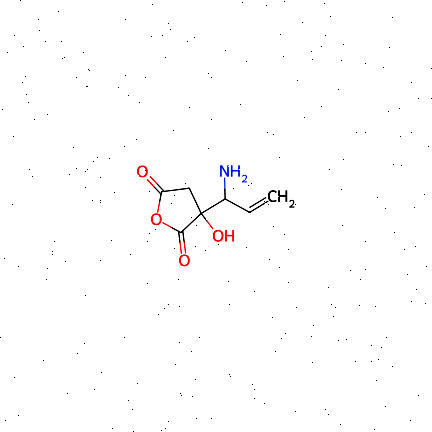 C=CC(N)C1(O)CC(=O)OC1=O